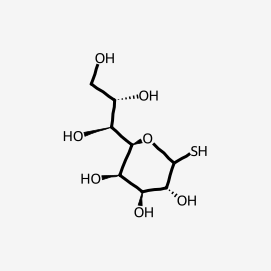 OC[C@H](O)[C@H](O)[C@H]1OC(S)[C@H](O)[C@@H](O)[C@H]1O